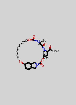 COC(=O)C1C[C@@H]2CN1C(=O)[C@H](C(C)(C)C)NC(=O)OCCCCCCCOc1ccc3c(c1)CN(C3)C(=O)O2